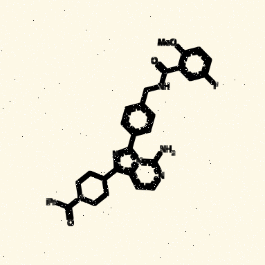 COc1ccc(F)cc1C(=O)NCc1ccc(-c2nc(C3CCN(C(=O)C(C)C)CC3)c3ccnc(N)n23)cc1